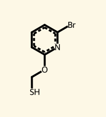 SCOc1cccc(Br)n1